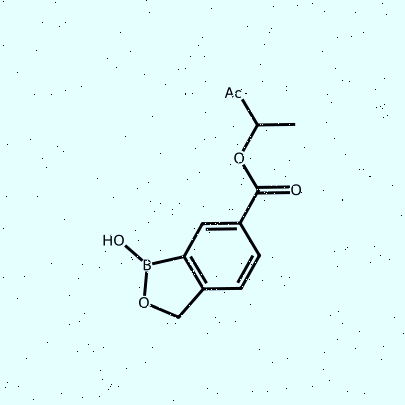 CC(=O)C(C)OC(=O)c1ccc2c(c1)B(O)OC2